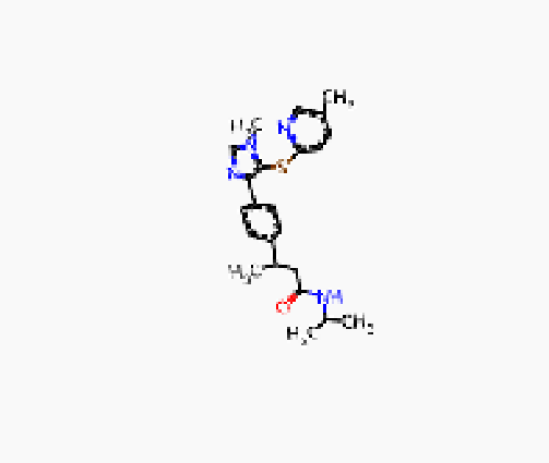 Cc1ccc(Sc2c(-c3ccc(C(C)CC(=O)NC(C)C)cc3)ncn2C)nc1